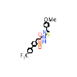 COc1ccc(-c2csc(NC(=O)C=Cc3ccc(-c4ccc(C(F)(F)F)cc4)cc3S(C)(=O)=O)n2)cc1